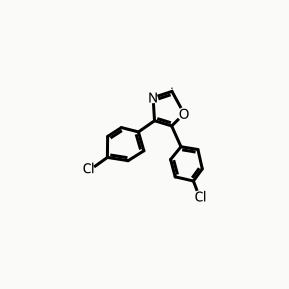 Clc1ccc(-c2n[c]oc2-c2ccc(Cl)cc2)cc1